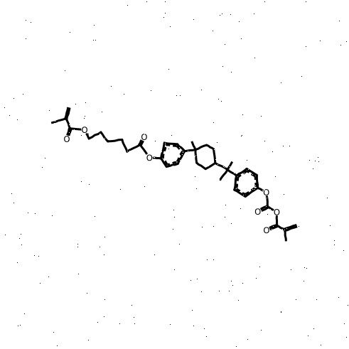 C=C(C)C(=O)OCCCCCC(=O)Oc1ccc(C2(C)CCC(C(C)(C)c3ccc(OC(=O)OC(=O)C(=C)C)cc3)CC2)cc1